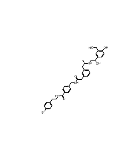 CCc1ccc(CCNC(=O)c2ccc(CNC(=O)Cc3cccc(C[C@@H](C)NC[C@H](O)c4ccc(O)c(CO)c4)c3)cc2)cc1